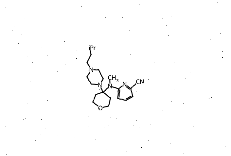 CC(C)CCN1CCN(C2(N(C)c3cccc(C#N)n3)CCOCC2)CC1